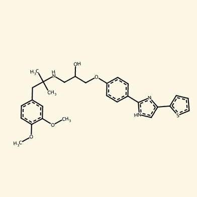 COc1ccc(CC(C)(C)NCC(O)COc2ccc(-c3nc(-c4cccs4)c[nH]3)cc2)cc1OC